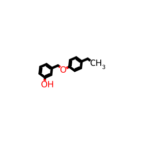 CCc1ccc(OCc2cccc(O)c2)cc1